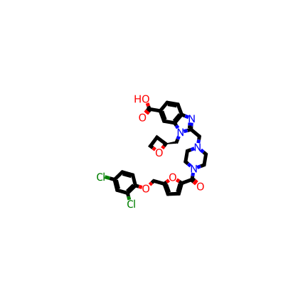 O=C(O)c1ccc2nc(CN3CCN(C(=O)c4ccc(COc5ccc(Cl)cc5Cl)o4)CC3)n(C[C@@H]3CCO3)c2c1